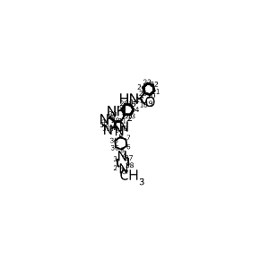 CN1CCN([C@H]2CC[C@@H](n3nc(-c4ccc(NC5COc6ccccc65)cc4)c4c(N)ncnc43)CC2)CC1